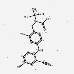 CC(C)(C)N(Cc1ncc(Nc2ccc(F)cc2C#N)cc1F)C(=O)O